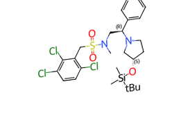 CN(C[C@@H](c1ccccc1)N1CC[C@H](O[Si](C)(C)C(C)(C)C)C1)S(=O)(=O)Cc1c(Cl)ccc(Cl)c1Cl